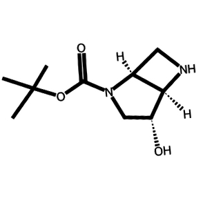 CC(C)(C)OC(=O)N1C[C@@H](O)[C@@H]2NC[C@@H]21